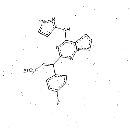 CCOC(=O)C=C(c1ccc(F)cc1)c1nc(Nc2cc[nH]n2)c2cccn2n1